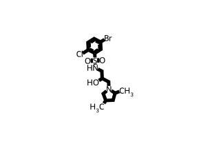 CC1CC(C)N(CC(O)CNS(=O)(=O)c2cc(Br)ccc2Cl)C1